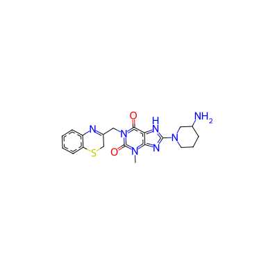 Cn1c(=O)n(CC2=Nc3ccccc3SC2)c(=O)c2[nH]c(N3CCCC(N)C3)nc21